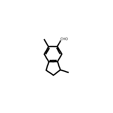 Cc1cc2c(cc1C=O)C(C)CC2